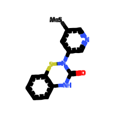 CSc1cncc(N2Sc3ccccc3NC2=O)c1